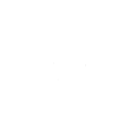 CC(C)=C(O)C(O)C(O)=C(C)C